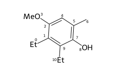 CCc1c(OC)cc(C)c(O)c1CC